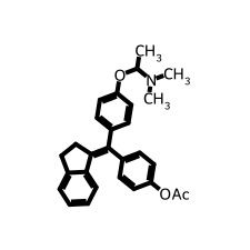 CC(=O)Oc1ccc(/C(=C2/CCc3ccccc32)c2ccc(OC(C)N(C)C)cc2)cc1